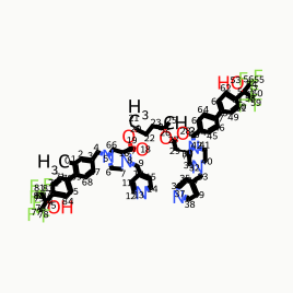 Cc1cc(CN2CCN(Cc3ccncc3)C(C(=O)OC(C)CCC(C)OC(=O)C[C@@H]3CN(Cc4ccncc4)CCN3Cc3ccc(-c4ccc(C(O)(C(F)(F)F)C(F)(F)F)cc4)cc3)C2)ccc1-c1ccc(C(O)(C(F)(F)F)C(F)(F)F)cc1